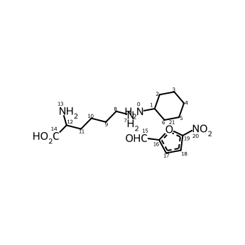 NC1CCCCC1.NCCCCC(N)C(=O)O.O=Cc1ccc([N+](=O)[O-])o1